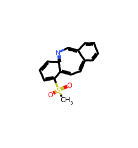 CS(=O)(=O)c1cccc2c1=CC=c1ccccc1=CN=2